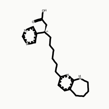 O=C(O)C[C@@H](CCCCCCc1ccc2c(n1)NCCCC2)c1cncnc1